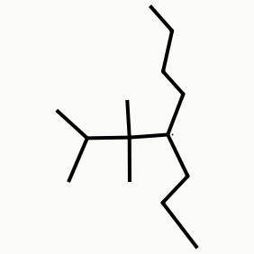 CCCC[C](CCC)C(C)(C)C(C)C